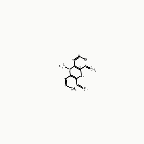 C=CC1=C(/C=C\C)N(C)C(/C=C\CC)=C(C=C)S1